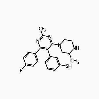 CC1CN(c2nc(C(F)(F)F)nc(-c3ccc(F)cc3)c2-c2cccc(S)c2)CCN1